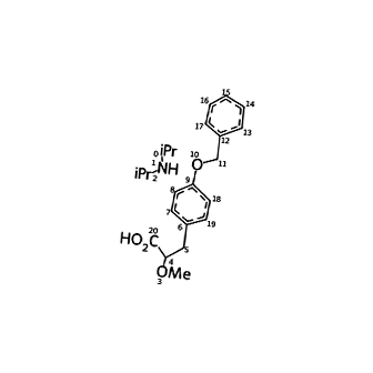 CC(C)NC(C)C.COC(Cc1ccc(OCc2ccccc2)cc1)C(=O)O